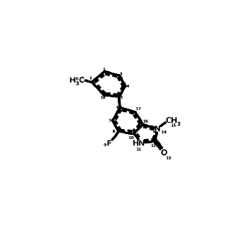 Cc1cccc(-c2cc(F)c3[nH]c(=O)n(C)c3c2)c1